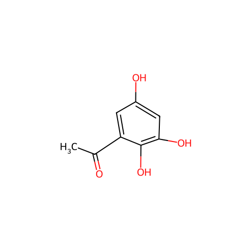 CC(=O)c1cc(O)cc(O)c1O